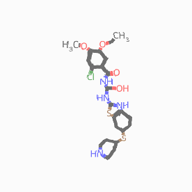 CCOC1CC(C(=O)NC(O)NC2NC3=C(CC(SC4CCNCC4)CC3)S2)C(Cl)C=C1OC